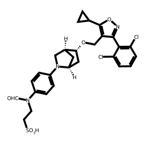 O=CN(CCS(=O)(=O)O)c1ccc(N2C[C@@H]3C[C@H]2C[C@H]3OCc2c(-c3c(Cl)cccc3Cl)noc2C2CC2)cc1